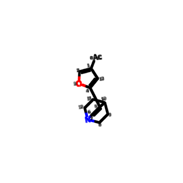 CC(=O)c1coc(C2=CN3CCC2CC3)c1